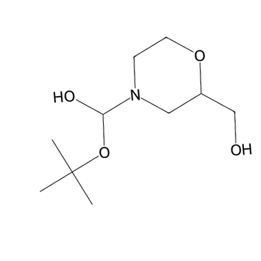 CC(C)(C)OC(O)N1CCOC(CO)C1